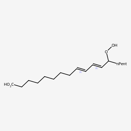 CCCCCC(/C=C/C=C/CCCCCCCC(=O)O)OO